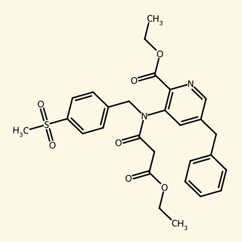 CCOC(=O)CC(=O)N(Cc1ccc(S(C)(=O)=O)cc1)c1cc(Cc2ccccc2)cnc1C(=O)OCC